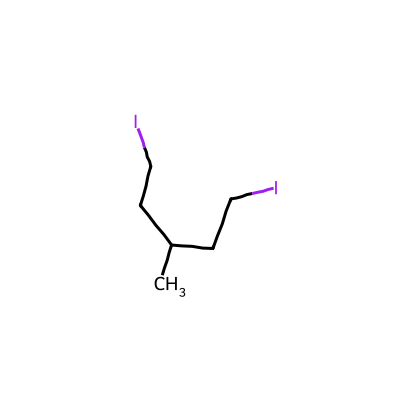 CC(CCI)CCI